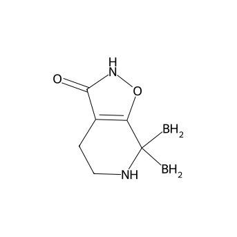 BC1(B)NCCc2c1o[nH]c2=O